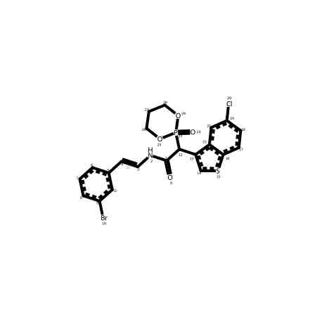 O=C(N/C=C/c1cccc(Br)c1)C(c1csc2ccc(Cl)cc12)P1(=O)OCCCO1